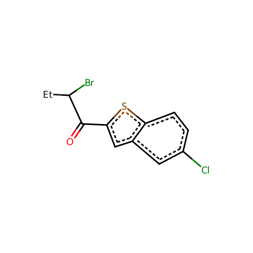 CCC(Br)C(=O)c1cc2cc(Cl)ccc2s1